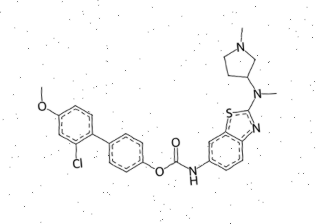 COc1ccc(-c2ccc(OC(=O)Nc3ccc4nc(N(C)C5CCN(C)C5)sc4c3)cc2)c(Cl)c1